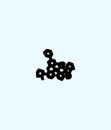 Cc1ccccc1-c1cccc2c1Cc1cc(-c3ccccc3)cc3c1B2N1c2ccccc2[Si]2(c4ccccc4-c4ccccc42)c2cccc-3c21